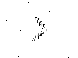 [Cr].[Hf].[La].[Mo].[Nb].[Ta].[Ti].[V].[W]